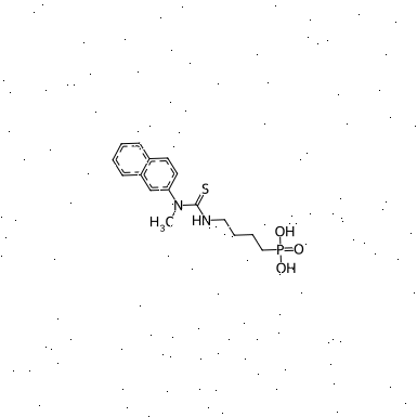 CN(C(=S)NCCCCP(=O)(O)O)c1ccc2ccccc2c1